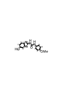 COc1ccc(NC(=O)Nc2nc3ccc(O)cc3s2)cc1